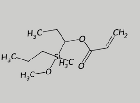 C=CC(=O)OC(CC)[Si](C)(CCC)OC